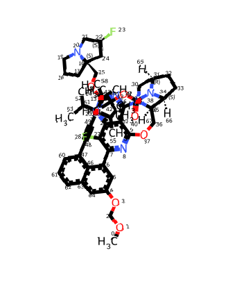 COCOc1cc(-c2nc3c4c(nc(OC[C@@]56CCCN5C[C@@H](F)C6)nc4c2F)N2C[C@H]4CC[C@@H]([C@H]2CO3)N4C(=O)OC(C)(C)C)c2c(C#C[Si](C(C)C)(C(C)C)C(C)C)cccc2c1